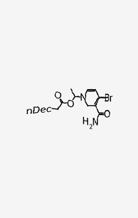 CCCCCCCCCCCC(=O)OC(C)N1C=CC(Br)=C(C(N)=O)C1